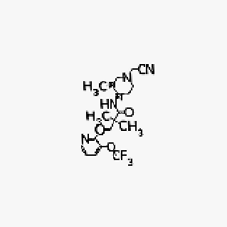 C[C@@H]1CN(CC#N)CC[C@H]1NC(=O)C(C)(C)COc1ncccc1OC(F)(F)F